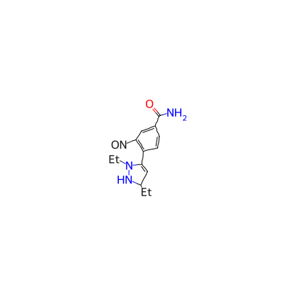 CCC1C=C(c2ccc(C(N)=O)cc2N=O)N(CC)N1